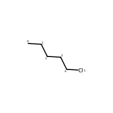 C[CH]CCCCl